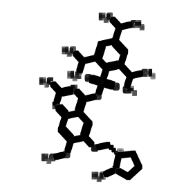 COc1cc2nc(C)nc(OS(=O)(=O)c3c(C(C)C)cc(C(C)C)cc3C(C)C)c2cc1OC[C@@H]1CCCN1C